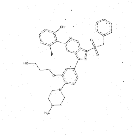 CN1CCN(c2ccc(-c3nn(S(=O)(=O)Cc4ccccc4)c4cnc(-c5c(O)cccc5F)cc34)cc2OCCCO)CC1